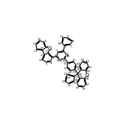 c1ccc(-c2cc(-c3cccc4c3oc3ccccc34)nc(-c3ccc(C4(c5ccccc5)c5ccccc5Oc5ccccc54)cc3)n2)cc1